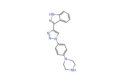 c1ccc2c(-c3cn(-c4ccc(N5CCNCC5)cc4)nn3)n[nH]c2c1